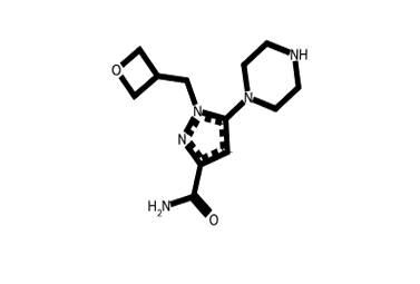 NC(=O)c1[c]c(N2CCNCC2)n(CC2COC2)n1